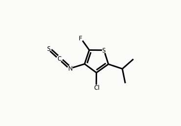 CC(C)c1sc(F)c(N=C=S)c1Cl